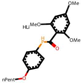 CCCCCOc1ccc(PC(=O)c2c(OC)cc(OC)cc2OC)cc1.[LiH]